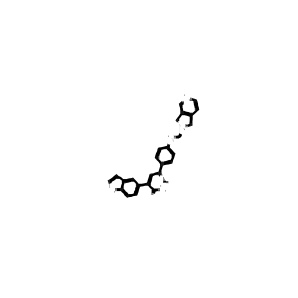 O=C(Nc1ccc(-c2cc(-c3ccc4[nH]ccc4c3)c(=O)[nH]n2)cc1)N1Cc2ccncc2C1